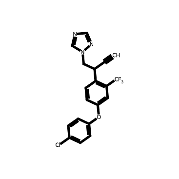 C#CC(Cn1cncn1)c1ccc(Oc2ccc(Cl)cc2)cc1C(F)(F)F